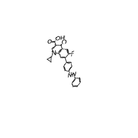 O=C(O)c1cn(C2CC2)c2cc(-c3ccc(/N=N/c4ccccc4)cc3)c(F)cc2c1=O